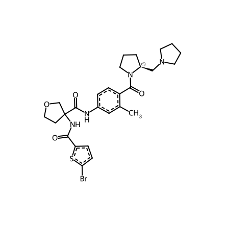 Cc1cc(NC(=O)C2(NC(=O)c3ccc(Br)s3)CCOC2)ccc1C(=O)N1CCC[C@H]1CN1CCCC1